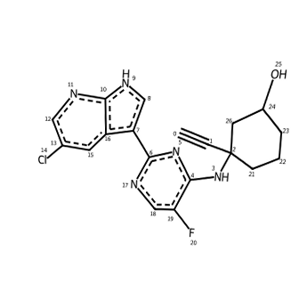 C#CC1(Nc2nc(-c3c[nH]c4ncc(Cl)cc34)ncc2F)CCCC(O)C1